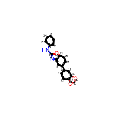 c1ccc(Nc2nc3cc(-c4ccc5c(c4)OCO5)ccc3o2)cc1